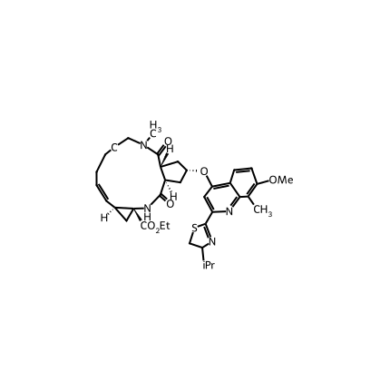 CCOC(=O)[C@@]12C[C@H]1/C=C\CCCCN(C)C(=O)[C@@H]1C[C@H](Oc3cc(C4=NC(C(C)C)CS4)nc4c(C)c(OC)ccc34)C[C@H]1C(=O)N2